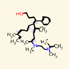 C=C\C(C)=C/C=C/C(=C(\CCCO)c1ccccc1)C(/C)=C/C=C(\C)N(C)CCN(C)C(C)C